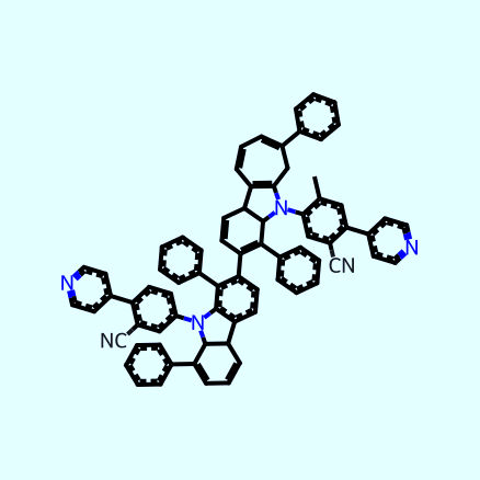 Cc1cc(-c2ccncc2)c(C#N)cc1N1C2=C(C=CC=C(c3ccccc3)C2)C2C=CC(c3ccc4c(c3-c3ccccc3)N(c3ccc(-c5ccncc5)c(C#N)c3)C3C(c5ccccc5)=CC=CC43)=C(c3ccccc3)C21